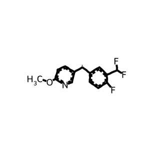 COc1ccc([CH]c2ccc(F)c(C(F)F)c2)cn1